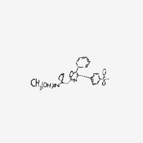 CN(O)C(=O)Cc1nc(-c2ccc(S(C)(=O)=O)cc2)c(-c2ccccc2)o1